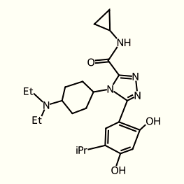 CCN(CC)C1CCC(n2c(C(=O)NC3CC3)nnc2-c2cc(C(C)C)c(O)cc2O)CC1